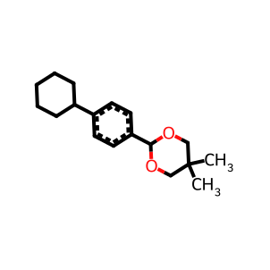 CC1(C)COC(c2ccc(C3CCCCC3)cc2)OC1